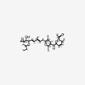 CC[C@H]1C[C@@]2(CO2)[C@H](O)C(/C=C/C(C)=C/C[C@@H]2O[C@H](C)[C@H](NC(=O)/C=C\[C@H](C)OC(C)=O)C[C@@H]2C)O1